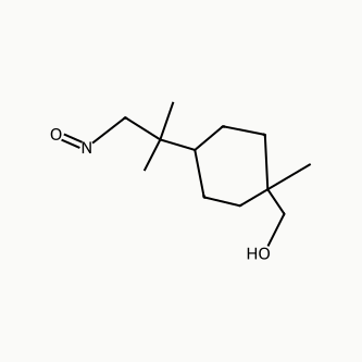 CC1(CO)CCC(C(C)(C)CN=O)CC1